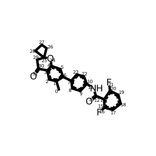 Cc1cc2c(cc1-c1ccc(NC(=O)c3c(F)cccc3F)cc1)OC1(CCC1)CC2=O